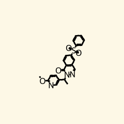 COc1ccc(C(C)n2ncc3cc(S(=O)(=O)c4ccccc4)ccc3c2=O)cn1